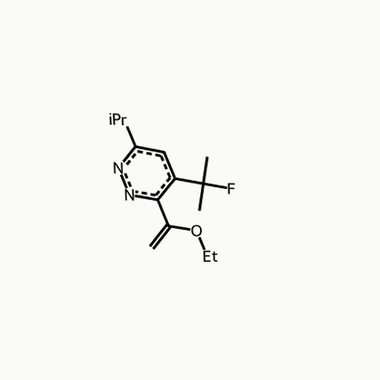 C=C(OCC)c1nnc(C(C)C)cc1C(C)(C)F